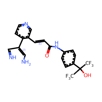 N=C/C(=C\N)c1ccncc1/C=C/C(=O)Nc1ccc(C(O)(C(F)(F)F)C(F)(F)F)cc1